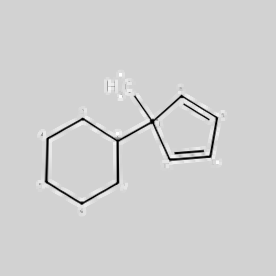 CC1(C2CCCCC2)C=CC=C1